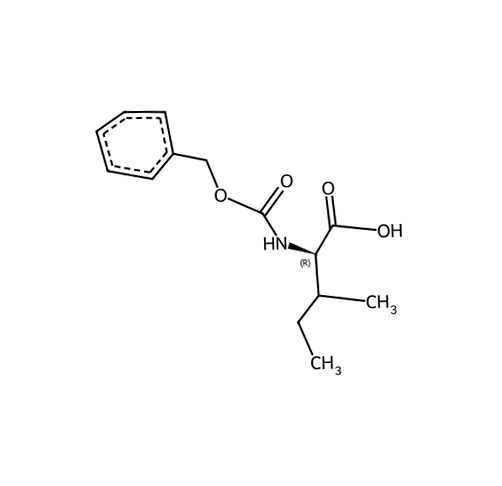 CCC(C)[C@@H](NC(=O)OCc1ccccc1)C(=O)O